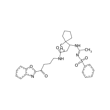 CC(=NS(=O)(=O)c1ccccc1)NC(CC(=O)NCCCC(=O)c1nc2ccccc2o1)C1(C)CCCC1